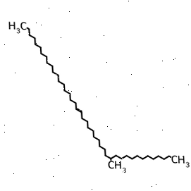 CCCCCCCCCCCCCCCCCCC=CCCCCCCCCCC(C)CCCCCCCCCCCC